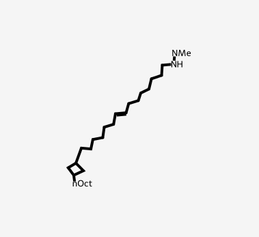 CCCCCCCCC1CC(CCCCCC/C=C/CCCCCCCNNC)C1